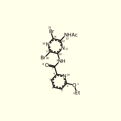 CCOc1cccc(C(=O)Nc2nc(NC(C)=O)c(Br)nc2Br)n1